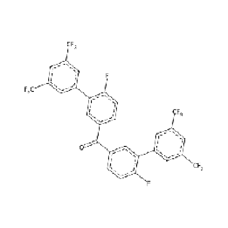 O=C(c1ccc(F)c(-c2cc(C(F)(F)F)cc(C(F)(F)F)c2)c1)c1ccc(F)c(-c2cc(C(F)(F)F)cc(C(F)(F)F)c2)c1